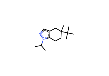 CC(C)n1ncc2c1CCC(C)(C(C)(C)C)C2